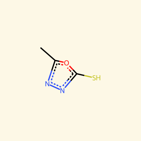 Cc1nnc(S)o1